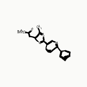 COC(=O)CC1N=C(c2ccc(-c3ccccc3)nc2)SC1C